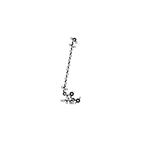 CC(C)(C)[C@H](c1nc(-c2cc(F)ccc2F)cn1Cc1ccccc1)N(COC(=O)N1CCC(CNC(=O)CCOCCOCCOCCOCCOCCOCCOCCOCCNC(=O)CCN2C(=O)C=CC2=O)C1)C(=O)CO